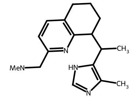 CNCc1ccc2c(n1)C(C(C)c1[nH]cnc1C)CCC2